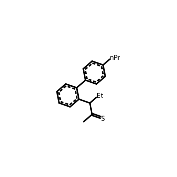 CCCc1ccc(-c2ccccc2C(CC)C(C)=S)cc1